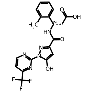 Cc1ccccc1[C@H](CC(=O)O)NC(=O)c1cc(O)n(-c2nccc(C(F)(F)F)n2)n1